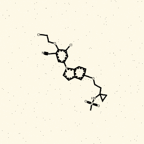 CS(=O)(=O)NC1(CCOc2ccc3c(ccn3-c3cc(Cl)c(OCCCl)c(C#N)c3)c2)CC1